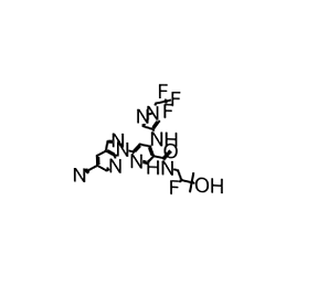 CC(C)(O)C(F)CNC(=O)c1cnc(-n2ncc3cc(C#N)cnc32)cc1Nc1cnn(CC(F)(F)F)c1